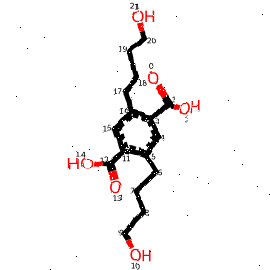 O=C(O)c1cc(CCCCO)c(C(=O)O)cc1CCCCO